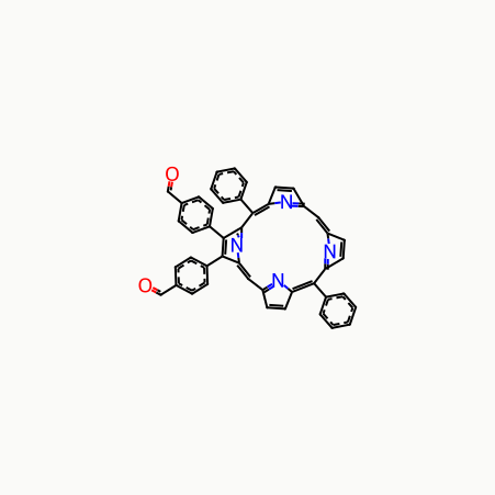 O=Cc1ccc(C2=C(c3ccc(C=O)cc3)C3=NC2=CC2=NC(=C(c4ccccc4)C4=NC(=CC5=NC(=C3c3ccccc3)C=C5)C=C4)C=C2)cc1